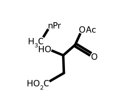 CC(=O)OC(=O)C(O)CC(=O)O.CCCC